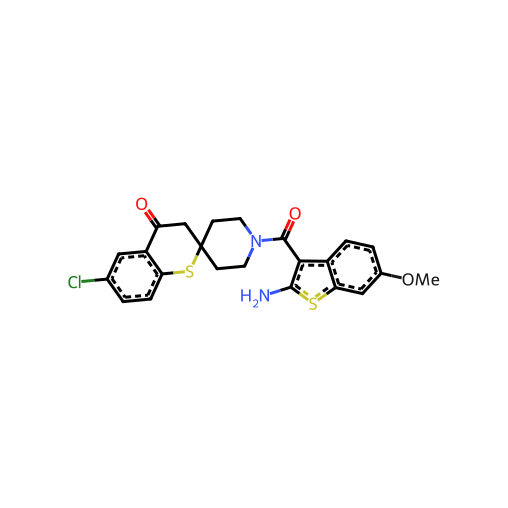 COc1ccc2c(C(=O)N3CCC4(CC3)CC(=O)c3cc(Cl)ccc3S4)c(N)sc2c1